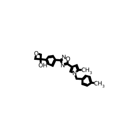 Cc1ccc(Cn2cc(-c3nc(-c4ccc(C5(O)COC5)cc4)no3)cc2C)cc1